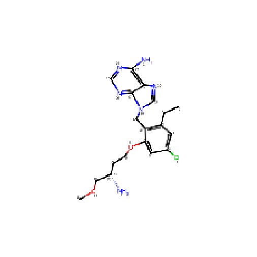 CCc1cc(Cl)cc(OCC[C@H](N)COC)c1Cn1cnc2c(N)ncnc21